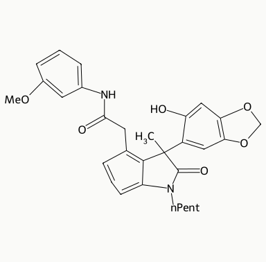 CCCCCN1C(=O)C(C)(c2cc3c(cc2O)OCO3)c2c(CC(=O)Nc3cccc(OC)c3)cccc21